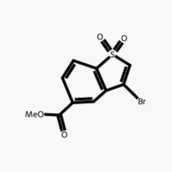 COC(=O)c1ccc2c(c1)C(Br)=CS2(=O)=O